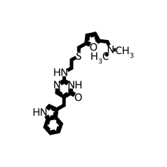 CN(C)Cc1ccc(CSCCNc2ncc(Cc3c[nH]c4ccccc34)c(=O)[nH]2)o1